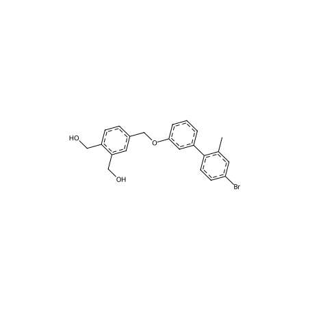 Cc1cc(Br)ccc1-c1cccc(OCc2ccc(CO)c(CO)c2)c1